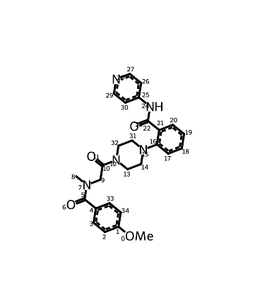 COc1ccc(C(=O)N(C)CC(=O)N2CCN(c3ccccc3C(=O)Nc3ccncc3)CC2)cc1